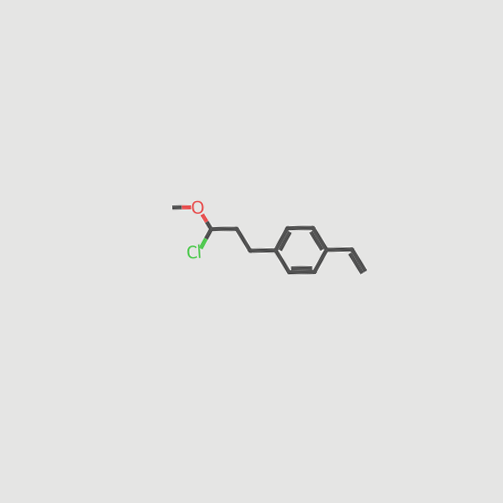 C=Cc1ccc(CCC(Cl)OC)cc1